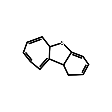 C1=CC=C2C(C=C1)SC1=CC=CCC12